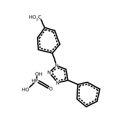 O=C(O)c1ccc(-n2cc(-c3ccccc3)nn2)cc1.O=[PH](O)O